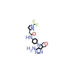 Nc1ncnc2c3c(n(-c4ccc(NC(=O)Cc5ccn(C(F)F)n5)cc4)c12)COC3